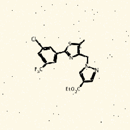 CCOC(=O)c1cnn(Cc2nc(-c3cc(Cl)cc(C(F)(F)F)c3)sc2C)c1